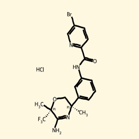 C[C@@]1(c2cccc(NC(=O)c3ccc(Br)cn3)c2)CO[C@@](C)(C(F)(F)F)C(N)=N1.Cl